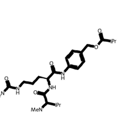 CNC(C(=O)N[C@@H](CCCNC(N)=O)C(=O)Nc1ccc(COC(=O)C(C)C)cc1)C(C)C